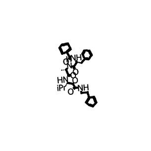 CC(C)[C@H](NC(=O)[C@H](C)NC(=O)[C@H](Cc1ccccc1)NC(=O)c1ccccc1)C(=O)C(=O)NCCc1ccccc1